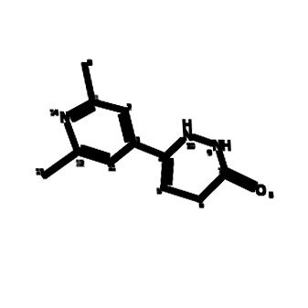 Cc1cc(C2=CCC(=O)NN2)cc(C)n1